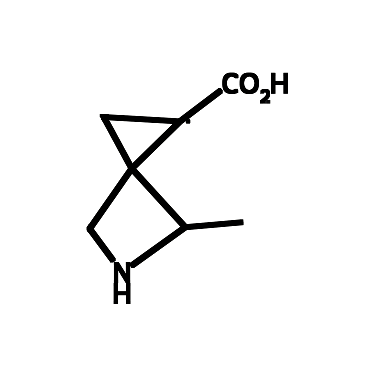 CC1NCC12C[C]2C(=O)O